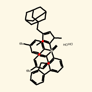 Cl.Cl.[CH2]=[Zr]([C]1=C(C)C(CC23CC4CC(CC(C4)C2)C3)=CC1C)([c]1ccc(C(C)(C)C)cc1)([c]1ccc(C(C)(C)C)cc1)[c]1cccc2c1Cc1ccccc1-2